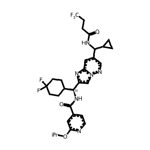 CC(C)Oc1cc(C(=O)N[C@H](c2cn3ncc(C(NC(=O)CCC(F)(F)F)C4CC4)cc3n2)C2CCC(F)(F)CC2)ccn1